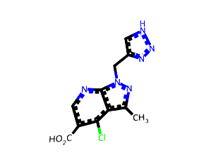 Cc1nn(Cc2c[nH]nn2)c2ncc(C(=O)O)c(Cl)c12